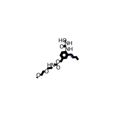 CC/C=C/c1cc(COC(=O)NCCOCCOC)ccc1NC(=O)NO